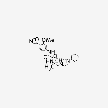 COc1cc(NC(=O)C(=O)NC(C)(C)CN2CCN(C3CCCCC3)CC2)ccc1-c1cnco1